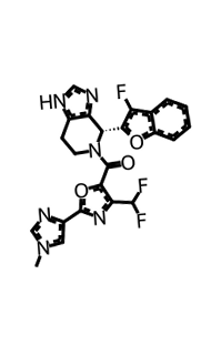 Cn1cnc(-c2nc(C(F)F)c(C(=O)N3CCc4[nH]cnc4[C@@H]3c3oc4ccccc4c3F)o2)c1